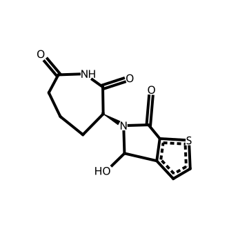 O=C1CCC[C@H](N2C(=O)c3sccc3C2O)C(=O)N1